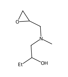 CCC(O)CN(C)CC1CO1